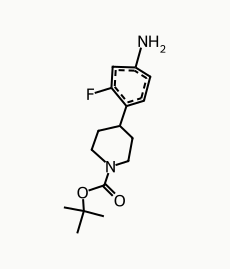 CC(C)(C)OC(=O)N1CCC(c2ccc(N)cc2F)CC1